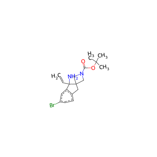 C=CC1(N)c2cc(Br)ccc2CC12CN(C(=O)OC(C)(C)C)C2